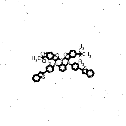 CC(C)(C)c1ccc2oc3c(c2c1)N(c1ccc(-c2cc4ccccc4s2)cc1)c1cccc2c1B3c1oc3ccc(C(C)(C)C)cc3c1N2c1ccc(-c2cc3ccccc3s2)cc1